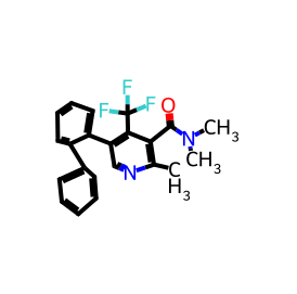 Cc1ncc(-c2ccccc2-c2ccccc2)c(C(F)(F)F)c1C(=O)N(C)C